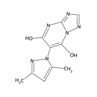 Cc1cc(C)n(-c2c(O)nc3ncnn3c2O)n1